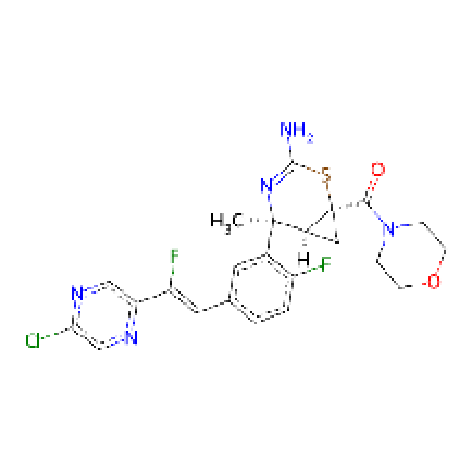 C[C@]1(c2cc(C=C(F)c3cnc(Cl)cn3)ccc2F)N=C(N)S[C@@]2(C(=O)N3CCOCC3)C[C@H]21